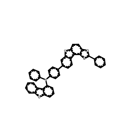 c1ccc(-c2nc3c(ccc4oc5cc(-c6ccc(N(c7ccccc7)c7cccc8oc9ccccc9c78)cc6)ccc5c43)o2)cc1